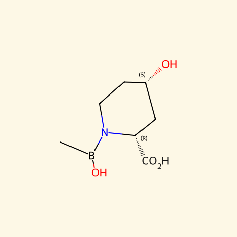 CB(O)N1CC[C@H](O)C[C@@H]1C(=O)O